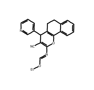 CCOC=NC1=C(C#N)C(c2cccnc2)C2=C(O1)c1ccccc1CC2